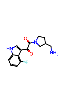 NCC1CCN(C(=O)C(=O)c2c[nH]c3cccc(F)c23)C1